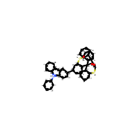 c1ccc(-c2cccc3c2C2(c4ccccc4Sc4cc(-c5ccc6c(c5)c5ccccc5n6-c5ccccc5)ccc42)c2ccccc2S3)cc1